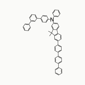 CC1(C)c2cc(-c3ccc(-c4ccc(-c5ccccc5)cc4)cc3)ccc2-c2ccc(N(c3ccccc3)c3ccc(-c4cccc(-c5ccccc5)c4)cc3)cc21